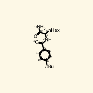 CCCCCCC(NC(=O)c1ccc(C(C)(C)C)cc1)C(N)=O